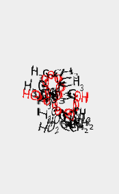 C=C(C)C(=O)O.C=C(C)C(=O)O.CC(O)COC(C)COC(C)COC(C)COC(C)COC(C)COC(C)COC(C)COC(C)COC(C)COC(C)COC(C)CO